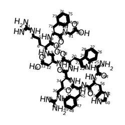 N=C(N)NCCC[C@H](NC(=O)[C@H](CC(=O)O)NC(=O)[C@@H](Cc1c[nH]c2ccccc12)NC(=O)[C@H](CCCNC(=N)N)NC(=O)[C@H](Cc1ccccc1)NC(=O)[C@H](Cc1c[nH]cn1)NC(=O)CN)C(=O)N[C@@H](Cc1ccccc1)C(=O)NCC(=O)O